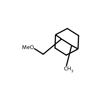 COCC1C2CCC(CC2)C1C